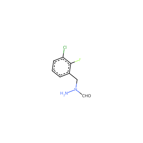 NN(C=O)Cc1cccc(Cl)c1F